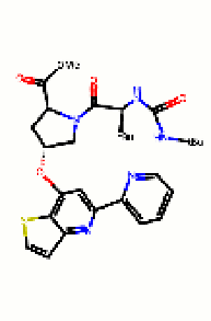 COC(=O)[C@@H]1C[C@@H](Oc2cc(-c3ccccn3)nc3ccsc23)CN1C(=O)[C@@H](NC(=O)NC(C)(C)C)C(C)(C)C